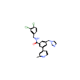 Cc1cc(-c2cc(Cn3ccnc3)cc(C(=O)NCc3ccc(Cl)c(Cl)c3)c2)ccn1